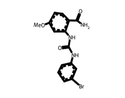 COc1ccc(C(N)=O)c(NC(=O)Nc2cccc(Br)c2)c1